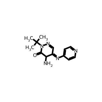 CC(C)(C)N1N=CC(=Nc2ccncc2)C(N)C1=O